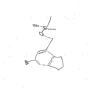 CC(C)(C)[Si](C)(C)OCc1cc(Br)cc2c1CCC2